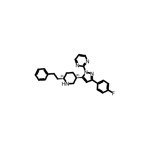 Fc1ccc(-c2cc([C@@H]3CC[C@H](CCc4ccccc4)NC3)n(-c3ncccn3)n2)cc1